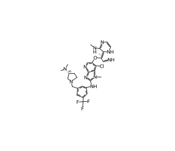 CNC1=NC=CN/C1=C(\C=N)Oc1cnc2nc(Nc3cc(CN4CC[C@@H](N(C)C)C4)cc(C(F)(F)F)c3)n(C)c2c1Cl